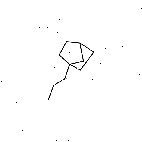 CC[CH]C12CCC(CC1)C2